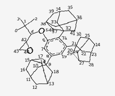 CC(C)(C)C(Oc1cc(C23CC4CC(CC(C4)C2)C3)cc(C23CC4CC(CC(C4)C2)C3)c1C12CC3CC(CC(C3)C1)C2)C1CO1